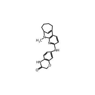 CN1c2nc(Nc3ccc4c(c3)OCC(=O)N4)ccc2C2=CC1CCCC2